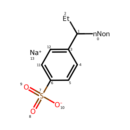 CCCCCCCCCC(CC)c1ccc(S(=O)(=O)[O-])cc1.[Na+]